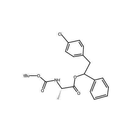 C[C@H](NC(=O)OC(C)(C)C)C(=O)OC(Cc1ccc(Cl)cc1)c1ccccc1